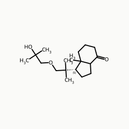 CC(C)(O)COCC(C)(C)[C@H]1CCC2C(=O)CCCC21C